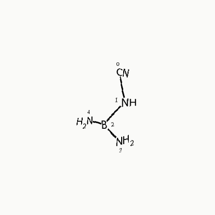 N#CNB(N)N